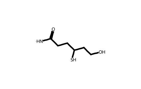 [NH]C(=O)CCC(S)CCO